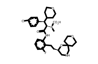 CN(C(=O)O)[C@H](C(=O)Nc1cccc(F)c1CC[C@@H]1CNCC2(CCOCC2)O1)[C@@H](c1ccc(Cl)cc1)C1CCOCC1